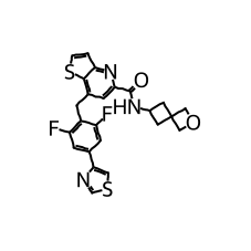 O=C(NC1CC2(COC2)C1)c1cc(Cc2c(F)cc(-c3cscn3)cc2F)c2sccc2n1